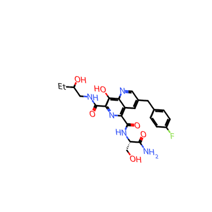 CCC(O)CNC(=O)c1nc(C(=O)N[C@@H](CO)C(N)=O)c2cc(Cc3ccc(F)cc3)cnc2c1O